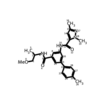 COCC(C)NC(=O)c1cc(NC(=O)c2cc(C)nn2C)cc(-c2ccc(C)cc2)c1